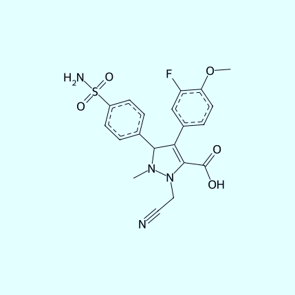 COc1ccc(C2=C(C(=O)O)N(CC#N)N(C)C2c2ccc(S(N)(=O)=O)cc2)cc1F